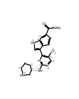 CNC(=O)c1ccc2c(-c3nc(N[C@H]4CCCNC4)ncc3C(F)(F)F)c[nH]c2c1